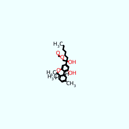 CCCCCCC(O)(COC=O)c1cc(O)c2c(c1)OC(C)(C)[C@@H]1CC=C(C)C[C@@H]21